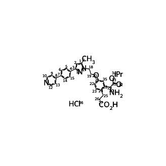 Cc1cc(-c2ccc(-c3ccncc3)cc2)nn1CCOc1ccc(CCC(=O)O)c(C(N)C(=O)OC(C)C)c1.Cl